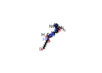 C[C@@H]1CN(c2ncc(-c3ccc4c(n3)N(Cc3cccnc3C#N)C(C)(C)C4=O)cn2)CCN1C(=O)CNC(=O)CCCCCCCCBr